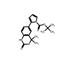 CC(C)(C)OC(=O)n1cccc1-c1ccc2c(c1)C(C)(C)OC(=O)N2